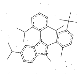 Cc1ccc(C(C)(C)C)cc1-c1n(-c2c(C(C)C)cccc2C(C)C)c2cc(C(C)C)ccc2[n+]1C